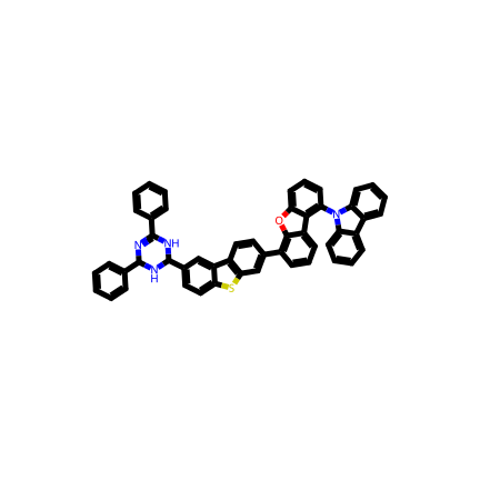 c1ccc(C2=NC(c3ccccc3)NC(c3ccc4sc5cc(-c6cccc7c6oc6cccc(-n8c9ccccc9c9ccccc98)c67)ccc5c4c3)N2)cc1